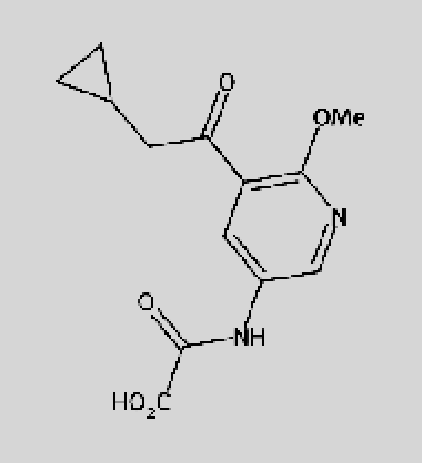 COc1ncc(NC(=O)C(=O)O)cc1C(=O)CC1CC1